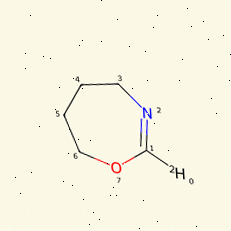 [2H]C1=NCCCCO1